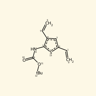 C=Cc1cc(C=C)c(NC(=O)OC(C)(C)C)s1